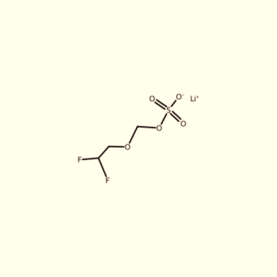 O=S(=O)([O-])OCOCC(F)F.[Li+]